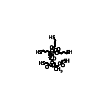 CC(COC(=O)CS)(COC(=O)CS)COC(=O)CS.CCC(OC(=O)CCCS)(OC(=O)CCCS)OC(=O)CCCS